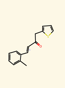 Cc1ccccc1/C=C/C(=O)Cc1cccs1